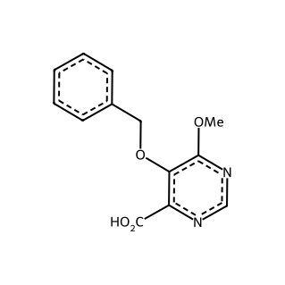 COc1ncnc(C(=O)O)c1OCc1ccccc1